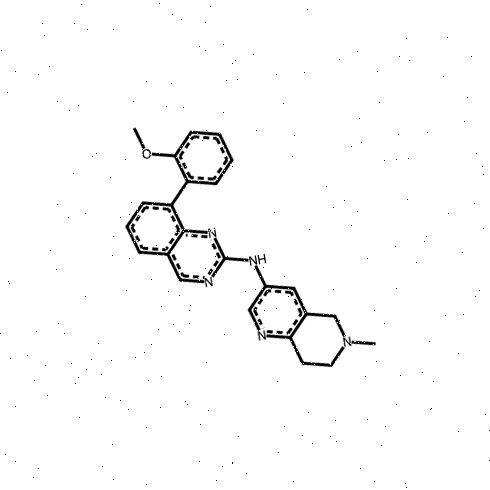 COc1ccccc1-c1cccc2cnc(Nc3cnc4c(c3)CN(C)CC4)nc12